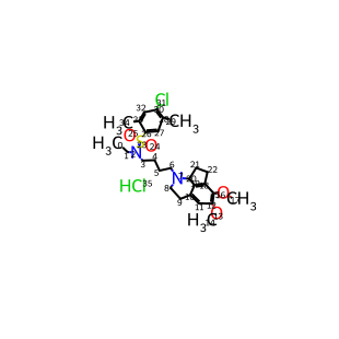 CCN(CCCCN1CCc2cc(OC)c(OC)c3c2C1CC3)S(=O)(=O)c1cc(C)c(Cl)cc1C.Cl